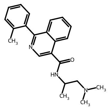 Cc1ccccc1-c1ncc(C(=O)NC(C)CN(C)C)c2ccccc12